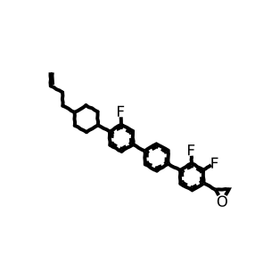 C=CCCC1CCC(c2ccc(-c3ccc(-c4ccc(C5CO5)c(F)c4F)cc3)cc2F)CC1